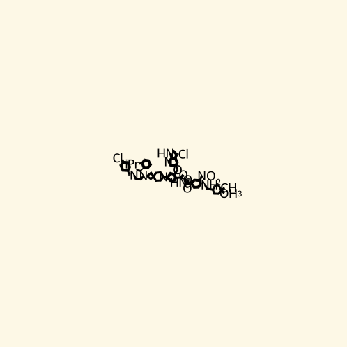 CC(C)c1ccccc1[C@@H]1CN(Cc2ccc(Cl)cc2)CCN1C1CC2(CCN(c3ccc(C(=O)NS(=O)(=O)c4ccc(NCC5CCC(C)(O)CC5)c([N+](=O)[O-])c4)c(Oc4cnc5[nH]cc(Cl)c5c4)c3)CC2)C1